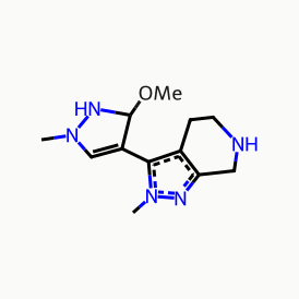 COC1NN(C)C=C1c1c2c(nn1C)CNCC2